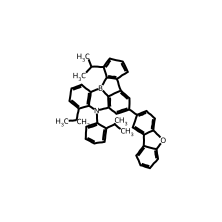 CC(C)c1ccccc1N1c2cc(-c3ccc4oc5ccccc5c4c3)cc3c2B(c2cccc(C(C)C)c21)c1c-3cccc1C(C)C